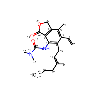 C=Cc1c(C)c2c(c(NC(=O)N(C)C)c1C/C=C(\C)CCC(=O)O)C(=O)OC2